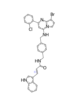 O=C(/C=C/c1c[nH]c2ccccc12)NCc1ccc(CNc2cc(-c3ccccc3Cl)nc3c(Br)ccn23)cc1